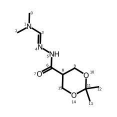 CN(C)/C=N/NC(=O)C1COC(C)(C)OC1